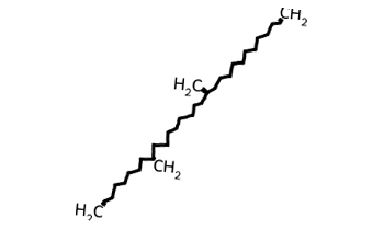 C=CCCCCCCCCCCC(=C)CCCCCCCCC(=C)CCCCCCC=C